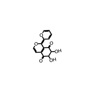 O=C1C2=C(C(=O)C(O)C1O)C(=C1C=CC=CO1)OC=C2